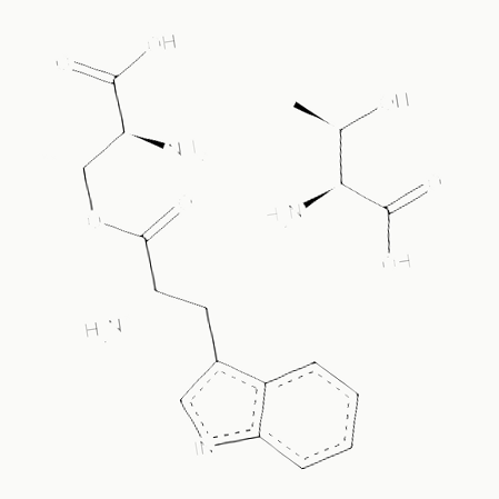 C[C@@H](O)[C@H](N)C(=O)O.C[C@@H](OC(=O)[C@@H](N)Cc1c[nH]c2ccccc12)[C@H](N)C(=O)O